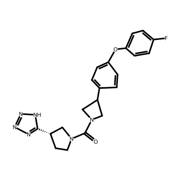 O=C(N1CC(c2ccc(Oc3ccc(F)cc3)cc2)C1)N1CC[C@H](c2nnn[nH]2)C1